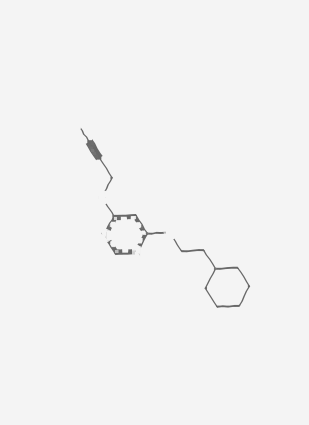 CC#CCOc1cc(OCCC2CCCCC2)ncn1